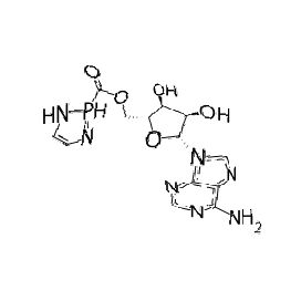 Nc1ncnc2c1ncn2[C@@H]1O[C@H](COC(=O)[PH]2=NC=CN2)[C@@H](O)[C@H]1O